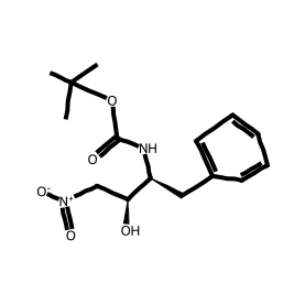 CC(C)(C)OC(=O)N[C@@H](Cc1ccccc1)[C@@H](O)C[N+](=O)[O-]